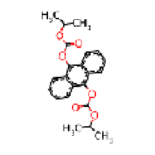 CC(C)OC(=O)Oc1c2ccccc2c(OC(=O)OC(C)C)c2ccccc12